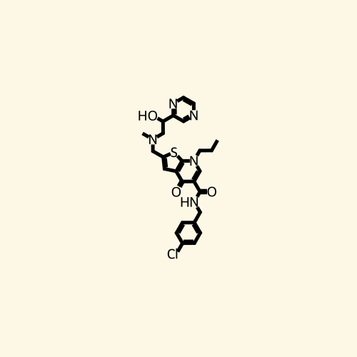 CCCn1cc(C(=O)NCc2ccc(Cl)cc2)c(=O)c2cc(CN(C)CC(O)c3cnccn3)sc21